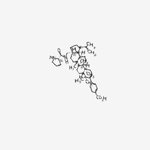 C=C(C)[C@@H]1CC[C@]2(CNC(=O)[C@@H]3CCCN3)CC[C@]3(C)[C@H](CC[C@@H]4[C@@]5(C)CC=C(c6ccc(C(=O)O)cc6)C(C)(C)[C@@H]5CC[C@]43C)[C@@H]12